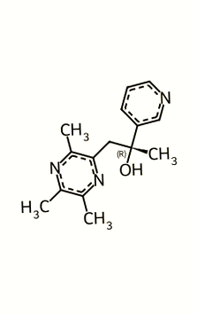 Cc1nc(C)c(C[C@@](C)(O)c2cccnc2)nc1C